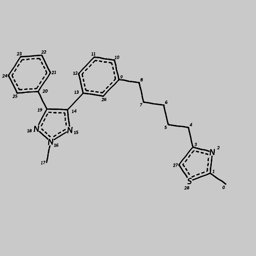 Cc1nc(CCCCCc2cccc(-c3nn(C)nc3-c3ccccc3)c2)cs1